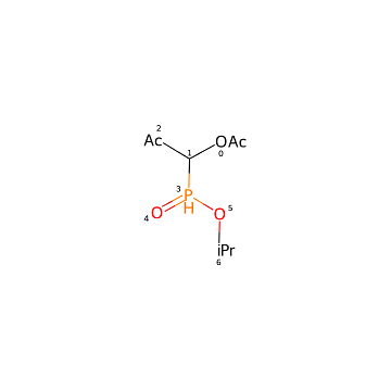 CC(=O)OC(C(C)=O)[PH](=O)OC(C)C